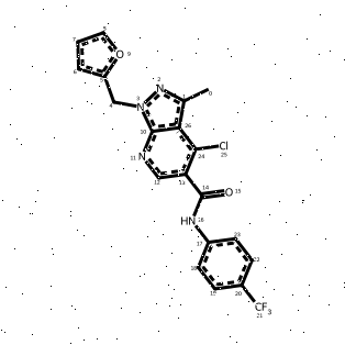 Cc1nn(Cc2ccco2)c2ncc(C(=O)Nc3ccc(C(F)(F)F)cc3)c(Cl)c12